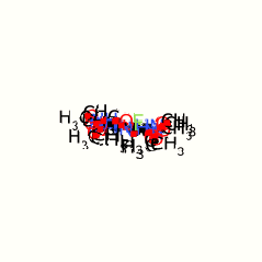 Cc1cc(C(=O)Nc2ccc(C3=CCN(/C(=N\C(=O)OC(C)(C)C)NC(=O)OC(C)(C)C)CC3)c(F)c2)ccc1C1=CCN(/C(=N\C(=O)OC(C)(C)C)NC(=O)OC(C)(C)C)CC1